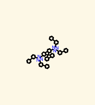 C1=C(c2nc(-c3cccc(-c4ccccc4)c3)nc(-c3cccc(-c4ccccc4)c3)n2)CCC2=C1C1(c3cc(-c4nc(-c5cccc(-c6ccccc6)c5)nc(-c5cccc(-c6ccccc6)c5)n4)ccc32)c2ccccc2-c2ccccc21